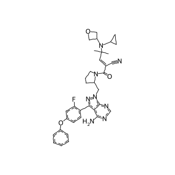 CC(C)(/C=C(\C#N)C(=O)N1CCCC1Cn1nc(-c2ccc(Oc3ccccc3)cc2F)c2c(N)ncnc21)N(C1CC1)C1COC1